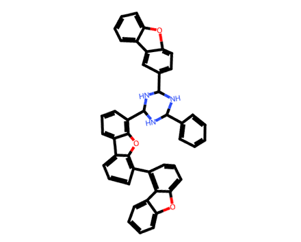 c1ccc(C2NC(c3ccc4oc5ccccc5c4c3)NC(c3cccc4c3oc3c(-c5cccc6oc7ccccc7c56)cccc34)N2)cc1